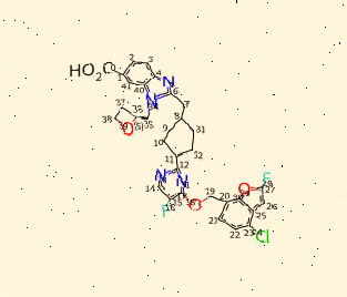 O=C(O)c1ccc2nc(CC3CCC(c4ncc(F)c(OCc5ccc(Cl)c6cc(F)oc56)n4)CC3)n(C[C@@H]3CCO3)c2c1